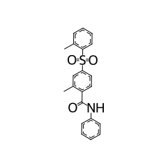 Cc1cc(S(=O)(=O)c2ccccc2C)ccc1C(=O)Nc1ccccc1